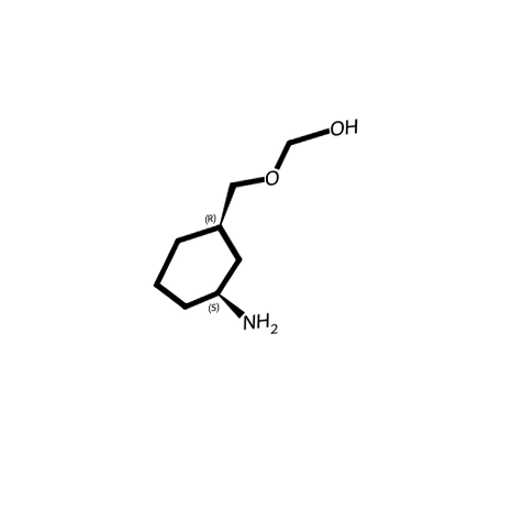 N[C@H]1CCC[C@@H](COCO)C1